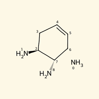 N.N[C@H]1CC=CC[C@@H]1N